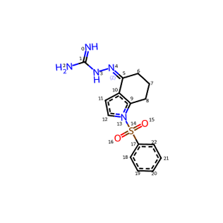 N=C(N)N/N=C1/CCCc2c1ccn2S(=O)(=O)c1ccccc1